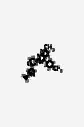 Cc1ccc2c(n1)nc(N1CCO[C@@H](c3cnn(C4CC4)c3)C1)nc2[C@H]1CC[C@@H](C(F)(F)F)CC1